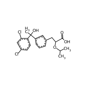 CC(C)OC(Cc1cccc(C(C)(O)c2ccc(Cl)cc2Cl)c1)C(=O)O